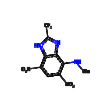 CC(C)(C)Nc1c([N+](=O)[O-])cc([N+](=O)[O-])c2[nH]c(C(F)(F)F)nc12